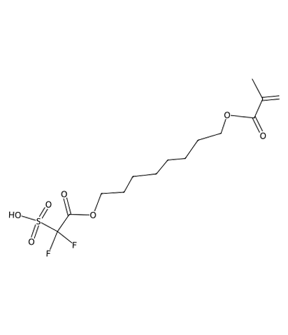 C=C(C)C(=O)OCCCCCCCCOC(=O)C(F)(F)S(=O)(=O)O